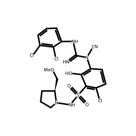 COC[C@@H]1CCCN1NS(=O)(=O)c1c(Cl)ccc(N(C#N)C(=N)Nc2cccc(Cl)c2Cl)c1O